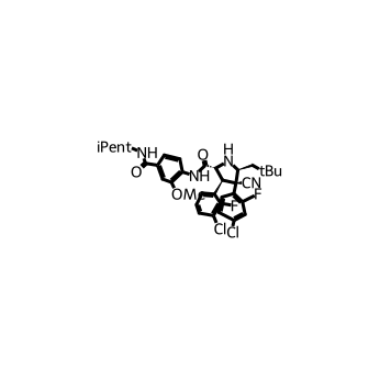 CCCC(C)NC(=O)c1ccc(NC(=O)[C@@H]2N[C@@H](CC(C)(C)C)[C@](C#N)(c3ccc(Cl)cc3F)[C@H]2c2cccc(Cl)c2F)c(OC)c1